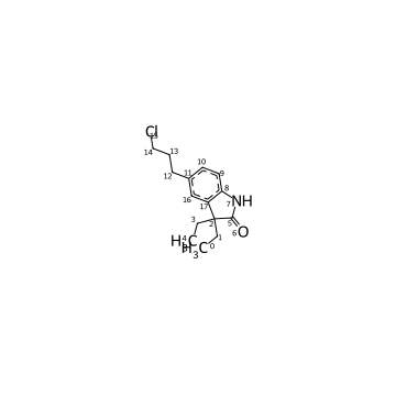 CCC1(CC)C(=O)Nc2ccc(CCCCl)cc21